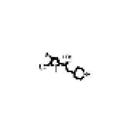 Br.Cc1[nH]c(C(=O)CC2CCNCC2)cc1Br